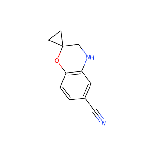 N#Cc1ccc2c(c1)NCC1(CC1)O2